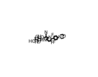 N#Cc1c(O[C@@H]2CO[C@H]3[C@@H]2OC[C@H]3O)[nH]c2cc(F)c(-c3c(F)cc(N4CCOCC4)cc3F)nc12